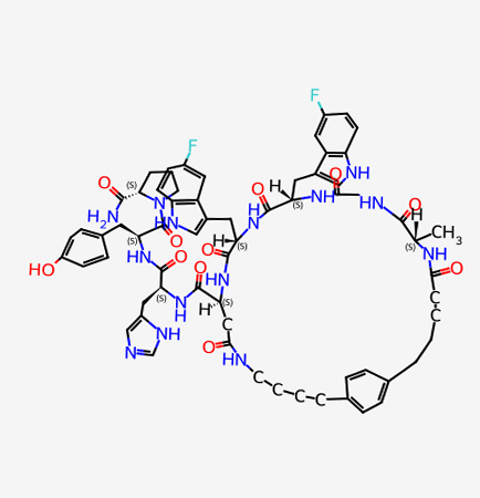 C[C@@H]1NC(=O)CCCCc2ccc(cc2)CCCCNC(=O)C[C@@H](C(=O)N[C@@H](Cc2cnc[nH]2)C(=O)N[C@@H](Cc2ccc(O)cc2)C(=O)N2CCC[C@H]2C(N)=O)NC(=O)[C@H](Cc2c[nH]c3ccc(F)cc23)NC(=O)[C@H](Cc2c[nH]c3ccc(F)cc23)NC(=O)CNC1=O